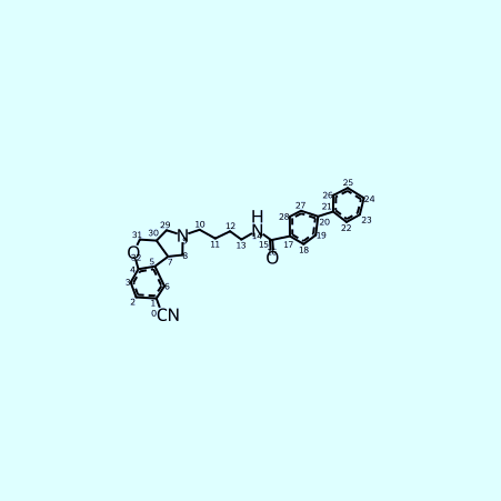 N#Cc1ccc2c(c1)C1CN(CCCCNC(=O)c3ccc(-c4ccccc4)cc3)CC1CO2